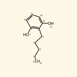 CCCCCc1c(O)cccc1O